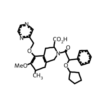 COC1=C(OCc2cnccn2)C2=C(CC1C)CN(C(=O)C(OC1CCCC1)c1ccccc1)C(C(=O)O)C2